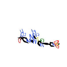 C[C@@H]1OCC2(CCN(c3cnc(Sc4ccnc(C#CC5CCN(S(C)(=O)=O)CC5)c4Cl)c(N)n3)CC2)[C@@H]1N